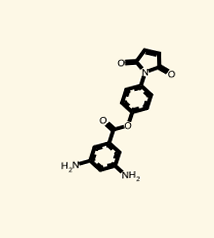 Nc1cc(N)cc(C(=O)Oc2ccc(N3C(=O)C=CC3=O)cc2)c1